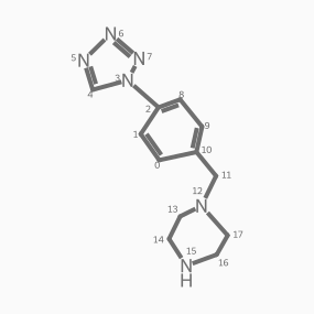 c1cc(-n2cnnn2)ccc1CN1CCNCC1